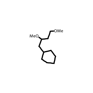 COCCC(CC1CCCCC1)OC